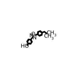 CC(C)Cc1ccc(-c2nc(-c3ccc(O)cc3)no2)cc1